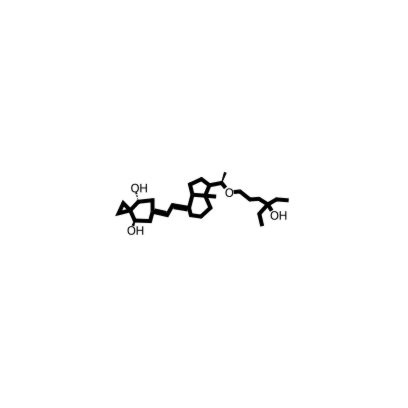 CCC(O)(CC)CCCO[C@H](C)C1CCC2/C(=C/C=C3C[C@@H](O)C4(CC4)[C@H](O)C3)CCCC21C